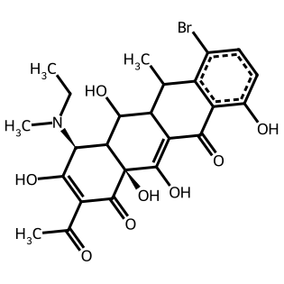 CCN(C)[C@@H]1C(O)=C(C(C)=O)C(=O)[C@@]2(O)C(O)=C3C(=O)c4c(O)ccc(Br)c4C(C)C3C(O)C12